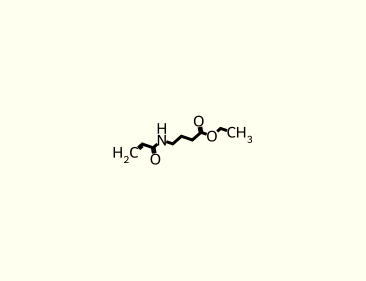 C=CC(=O)NCCCC(=O)OCC